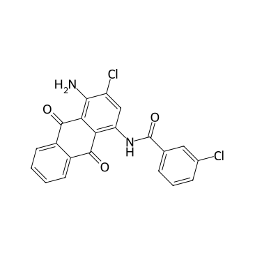 Nc1c(Cl)cc(NC(=O)c2cccc(Cl)c2)c2c1C(=O)c1ccccc1C2=O